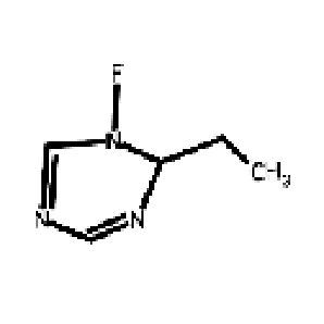 CCC1N=CN=CN1F